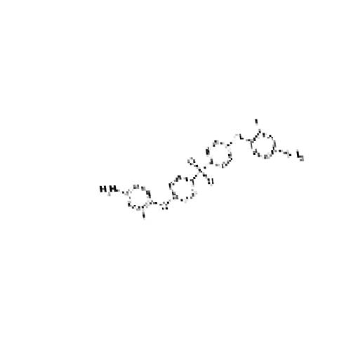 Cc1cc(N)ccc1Oc1ccc(S(=O)(=O)c2ccc(Oc3ccc(N)cc3C)cc2)cc1